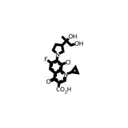 CC(O)(CO)C1CCN(c2c(F)cc3c(=O)c(C(=O)O)cn(C4CC4)c3c2Cl)C1